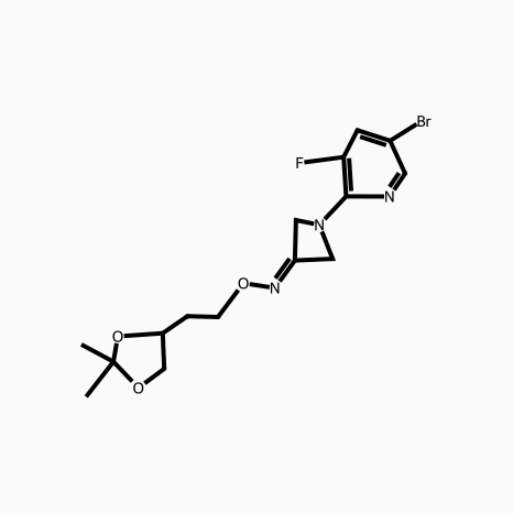 CC1(C)OCC(CCON=C2CN(c3ncc(Br)cc3F)C2)O1